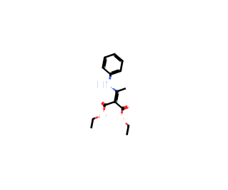 CCOC(=O)C(C(=O)OCC)=C(C)Nc1ccccc1